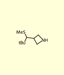 CSC(C1CNC1)C(C)(C)C